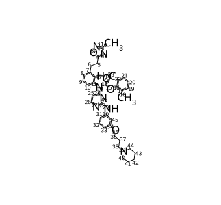 Cc1noc(CCc2cccc(N(C(=O)Oc3c(C)cccc3C)c3ccnc(Nc4cccc(OCCCN5CCCCC5)c4)n3)c2)n1